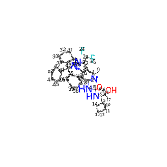 Cc1nc(NC(=O)N[C@@H](c2ccccc2)C(C)(C)O)cc2c1c(C(F)F)nn2C(c1ccccc1)(c1ccccc1)c1ccccc1